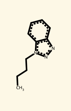 CCCCn1nnc2ccccc21